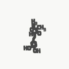 C[C](C(N)=O)C(=O)NCCc1ccc(O)c(O)c1